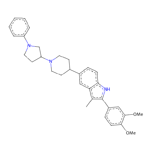 COc1ccc(-c2[nH]c3ccc(C4CCN(C5CCN(c6ccccc6)C5)CC4)cc3c2C)cc1OC